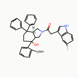 COc1ccccc1C1(O)CCC(c2ccccc2)(c2ccccc2)[C@H]2CN(C(=O)Cc3c[nH]c4ccc(F)cc34)CC21